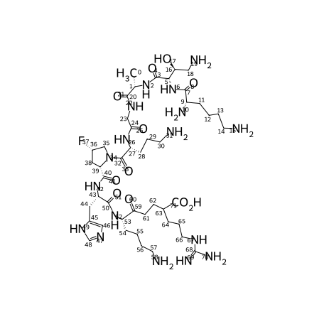 C[C@H](NC(=O)[C@@H](NC(=O)[C@@H](N)CCCCN)[C@@H](O)CN)C(=O)NCC(=O)N[C@H](CCCN)C(=O)N1C[C@@H](F)C[C@H]1C(=O)N[C@@H](Cc1cnc[nH]1)C(=O)N[C@@H](CCCCN)C(=O)CCC(CCCNC(=N)N)C(=O)O